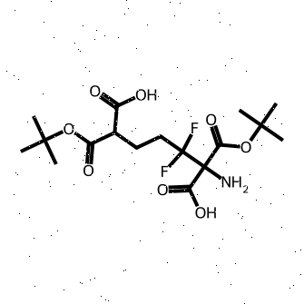 CC(C)(C)OC(=O)C(CCC(F)(F)C(N)(C(=O)O)C(=O)OC(C)(C)C)C(=O)O